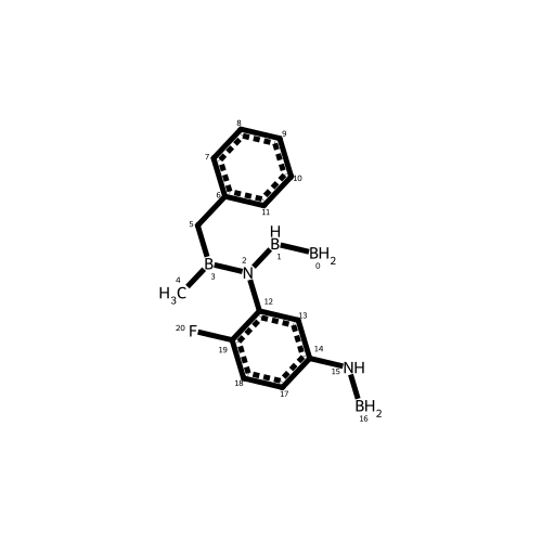 BBN(B(C)Cc1ccccc1)c1cc(NB)ccc1F